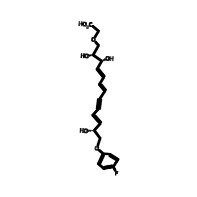 O=C(O)COC[C@@H](O)[C@H](O)/C=C/C=C/C#C/C=C/[C@@H](O)COc1ccc(F)cc1